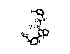 CN(CC(=O)Nc1cccc(F)c1)c1nc(-c2cc(OCCN)ccn2)nc2c1CCC2